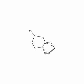 ClN1CCc2ccccc2C1